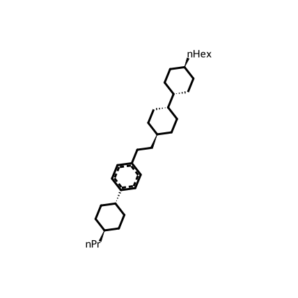 CCCCCC[C@H]1CC[C@H]([C@H]2CC[C@H](CCc3ccc([C@H]4CC[C@H](CCC)CC4)cc3)CC2)CC1